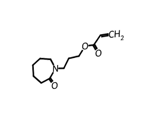 C=CC(=O)OCCCN1CCCCCC1=O